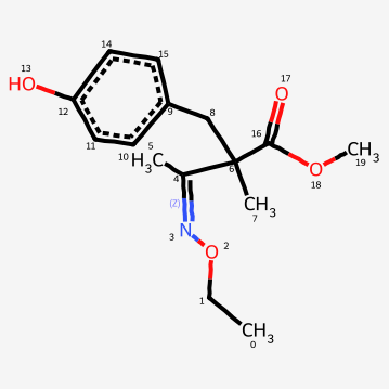 CCO/N=C(/C)C(C)(Cc1ccc(O)cc1)C(=O)OC